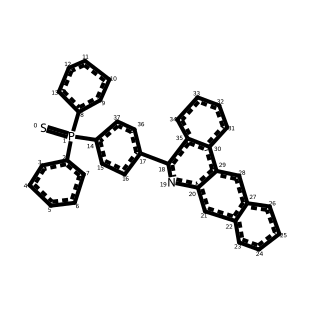 S=P(c1ccccc1)(c1ccccc1)c1ccc(-c2nc3cc4ccccc4cc3c3ccccc23)cc1